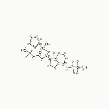 CC(C)(O)CCC[C@@H](CS(=O)(=O)c1ccccc1)C1CCC2[C@@H](CC(C)(C)[Si](C)(C)O)CCC[C@@]21C